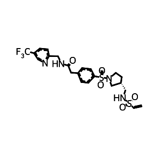 C=CS(=O)(=O)NC[C@H]1CCN(S(=O)(=O)c2ccc(CC(=O)NCc3ccc(C(F)(F)F)cn3)cc2)C1